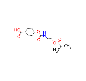 C=C(C)C(=O)OCCNC(=O)OC1CCC(C(=O)O)CC1